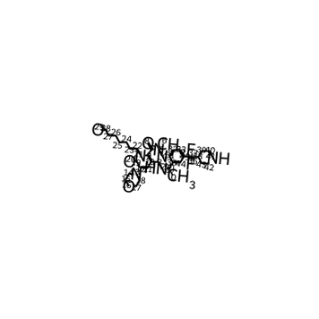 C[C@@H](Nc1nn(C)c(=O)c2c1cc(N1CCOCC1)c(=O)n2CCCCCCC=O)c1cccc(C(F)(F)C2CCNCC2)c1